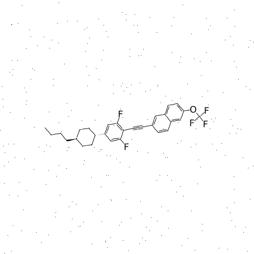 CCCC[C@H]1CC[C@H](c2cc(F)c(C#Cc3ccc4cc(OC(F)(F)F)ccc4c3)c(F)c2)CC1